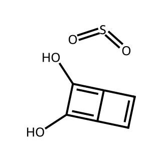 O=S=O.Oc1c2ccc-2c1O